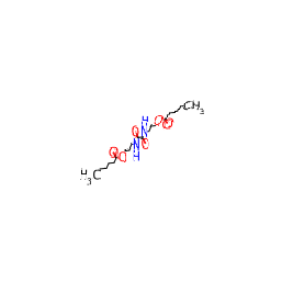 CCCCCC(=O)OCCCNC(=O)C(=O)NCCCOC(=O)CCCC